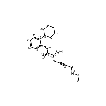 CCNCC#CC[C@H](O)C(=O)Oc1ccccc1C1CCCCC1